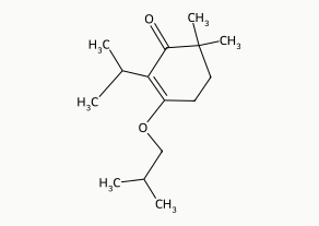 CC(C)COC1=C(C(C)C)C(=O)C(C)(C)CC1